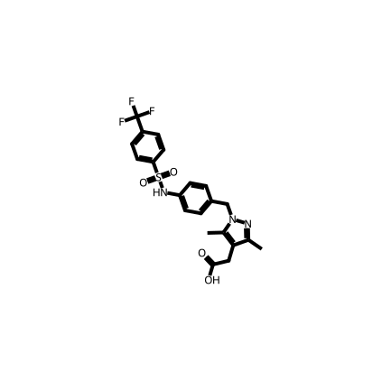 Cc1nn(Cc2ccc(NS(=O)(=O)c3ccc(C(F)(F)F)cc3)cc2)c(C)c1CC(=O)O